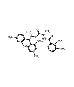 COc1cc(C)ccc1C(c1ccc(C)cc1OC)[C@H](C)OC(=O)[C@H](C)NC(=O)c1nccc(OC)c1OC(C)=O